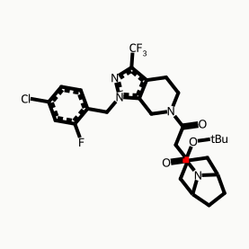 CC(C)(C)OC(=O)N1C2CCC1CC(CC(=O)N1CCc3c(C(F)(F)F)nn(Cc4ccc(Cl)cc4F)c3C1)C2